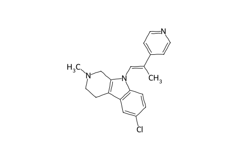 C/C(=C\n1c2c(c3cc(Cl)ccc31)CCN(C)C2)c1ccncc1